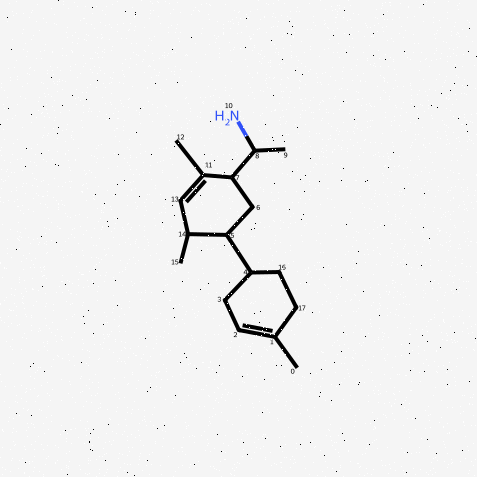 CC1=CCC(C2CC(C(C)N)C(C)=CC2C)CC1